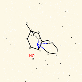 CC[N+]1(CC)CCC2(C)CCC1C(C)C2.[OH-]